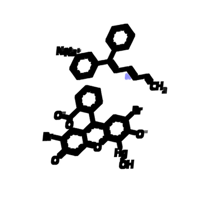 C=C/C=C/C=C(c1ccccc1)c1ccccc1.O=C([O-])c1ccccc1-c1c2cc(Br)c(=O)cc-2oc2[c]([Hg][OH])c([O-])c(Br)cc12.[Na+].[Na+]